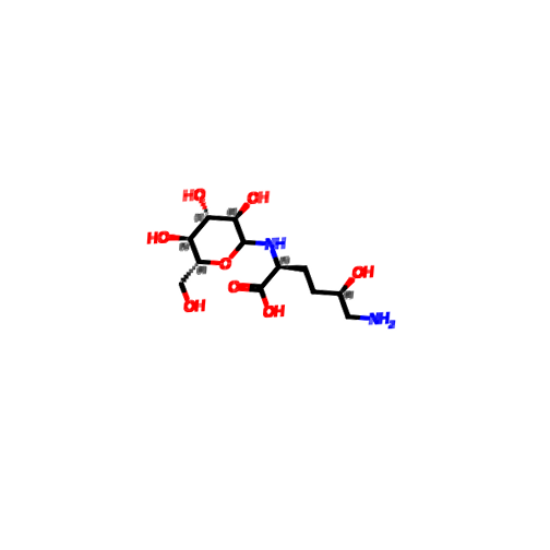 NC[C@H](O)CC[C@H](NC1O[C@H](CO)[C@@H](O)[C@H](O)[C@H]1O)C(=O)O